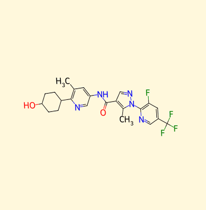 Cc1cc(NC(=O)c2cnn(-c3ncc(C(F)(F)F)cc3F)c2C)cnc1C1CCC(O)CC1